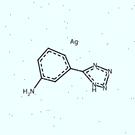 Nc1cccc(-c2nnn[nH]2)c1.[Ag]